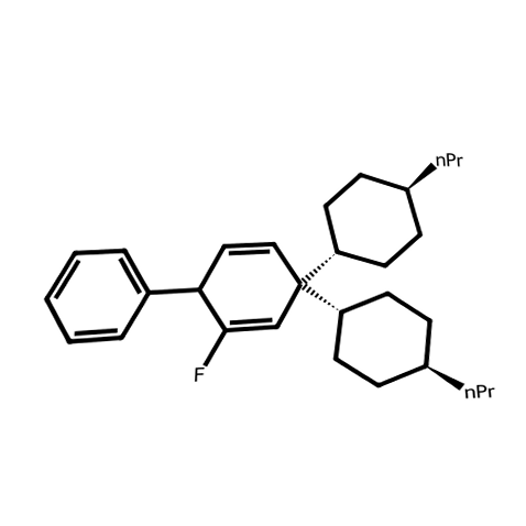 CCC[C@H]1CC[C@H](C2([C@H]3CC[C@H](CCC)CC3)C=CC(c3ccccc3)C(F)=C2)CC1